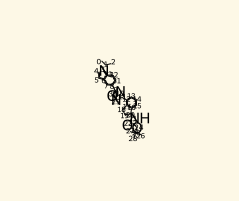 CC(C)n1ccc2cc(-c3nc(-c4cccc5c4CC[C@@H]5NC(=O)OC(C)(C)C)no3)ccc21